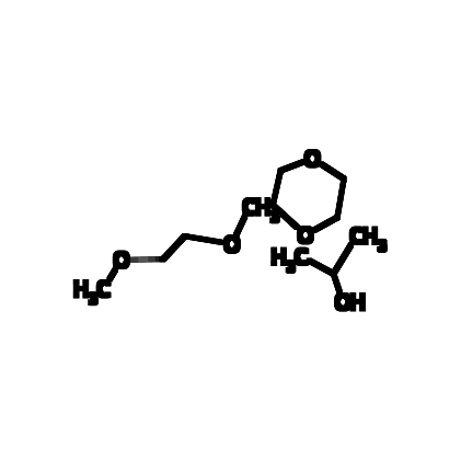 C1COCCO1.CC(C)O.COCCOC